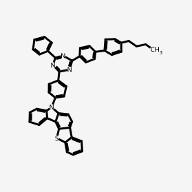 CCCCc1ccc(-c2ccc(-c3nc(-c4ccccc4)nc(-c4ccc(-n5c6ccccc6c6c7sc8ccccc8c7ccc65)cc4)n3)cc2)cc1